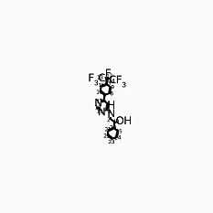 O[C@@H](CNc1cc(-c2ccc(C(F)(C(F)(F)F)C(F)(F)F)cc2)ncn1)c1ccccc1